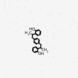 CC(Cc1ccc(CC(C)c2ccccc2O)cc1)c1ccccc1O